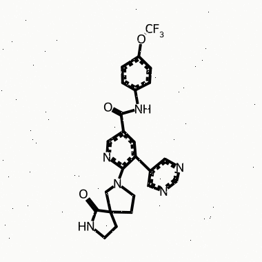 O=C(Nc1ccc(OC(F)(F)F)cc1)c1cnc(N2CCC3(CCNC3=O)C2)c(-c2cncnc2)c1